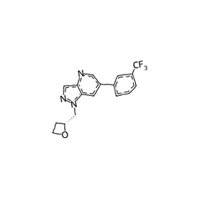 FC(F)(F)c1cccc(-c2cnc3cnn(C[C@H]4CCO4)c3c2)c1